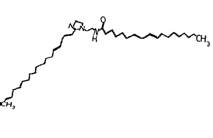 CCCCCCCCC=CCCCCCCCC(=O)NCCN1CCN=C1C=CCCCCCCCCCCCCCCC